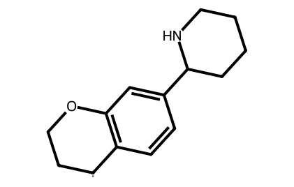 [CH]1CCOc2cc(C3CCCCN3)ccc21